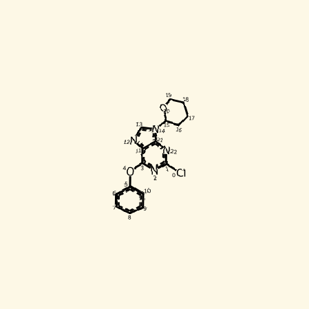 Clc1nc(Oc2ccccc2)c2ncn(C3CCCCO3)c2n1